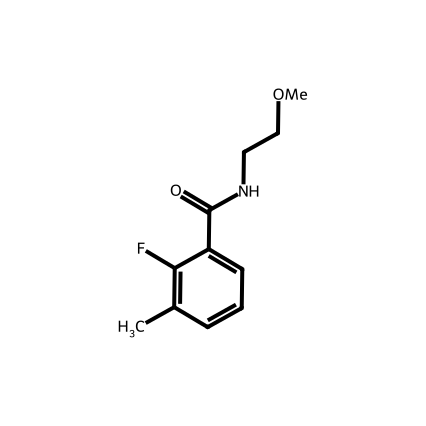 COCCNC(=O)c1cccc(C)c1F